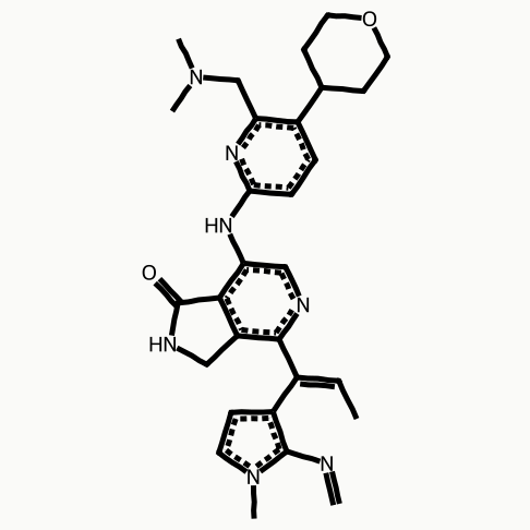 C=Nc1c(/C(=C\C)c2ncc(Nc3ccc(C4CCOCC4)c(CN(C)C)n3)c3c2CNC3=O)ccn1C